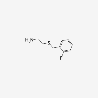 NCCSCc1ccccc1F